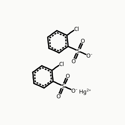 O=S(=O)([O-])c1ccccc1Cl.O=S(=O)([O-])c1ccccc1Cl.[Hg+2]